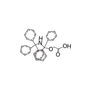 O=C(O)COC(NC(c1ccccc1)(c1ccccc1)c1ccccc1)(c1ccccc1)c1ccccc1